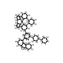 c1ccc(-c2ccc(-c3nc(-c4ccc5c(c4)-c4ccccc4-c4ccccc4C54c5ccccc5-c5ccccc54)nc(-c4cccc5oc6ccccc6c45)n3)cc2)cc1